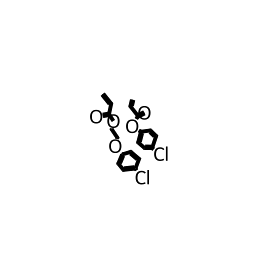 C=CC(=O)OCCOc1ccc(Cl)cc1.C=CC(=O)Oc1ccc(Cl)cc1